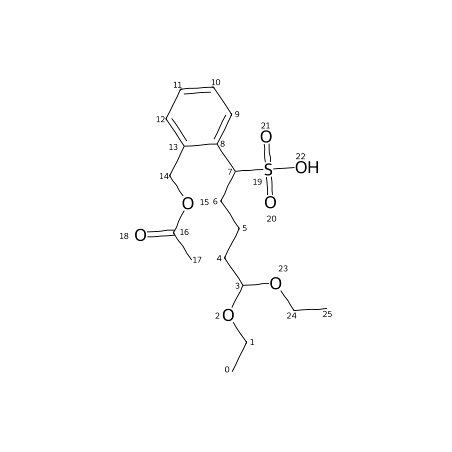 CCOC(CCCC(c1ccccc1COC(C)=O)S(=O)(=O)O)OCC